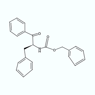 O=C(N[C@@H](Cc1ccccc1)C(=O)c1ccccc1)OCc1ccccc1